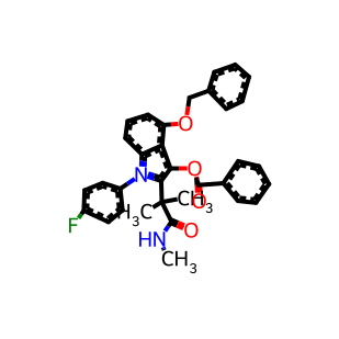 CNC(=O)C(C)(C)c1c(OC(=O)c2ccccc2)c2c(OCc3ccccc3)cccc2n1-c1ccc(F)cc1